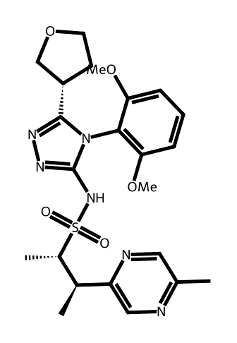 COc1cccc(OC)c1-n1c(NS(=O)(=O)[C@@H](C)[C@H](C)c2cnc(C)cn2)nnc1[C@H]1CCOC1